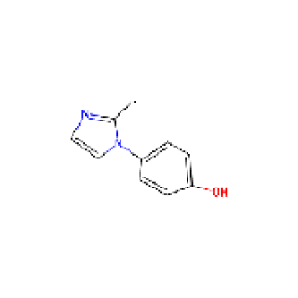 [CH2]c1nccn1-c1ccc(O)cc1